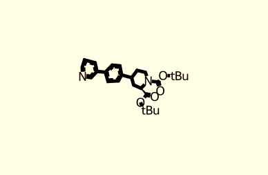 CC(C)(C)OC(=O)[C@H]1CC(c2ccc(-c3cccnc3)cc2)CCN1C(=O)OC(C)(C)C